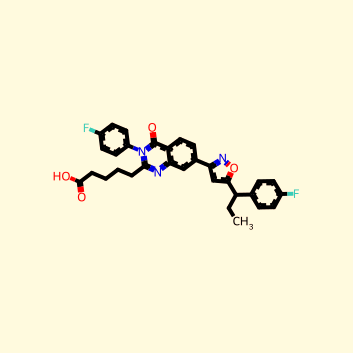 CCC(c1ccc(F)cc1)c1cc(-c2ccc3c(=O)n(-c4ccc(F)cc4)c(CCCCC(=O)O)nc3c2)no1